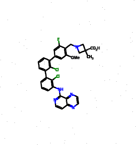 COc1cc(-c2cccc(-c3cccc(Nc4nccc5nccnc45)c3Cl)c2Cl)cc(F)c1CN1CC(C)(C(=O)O)C1